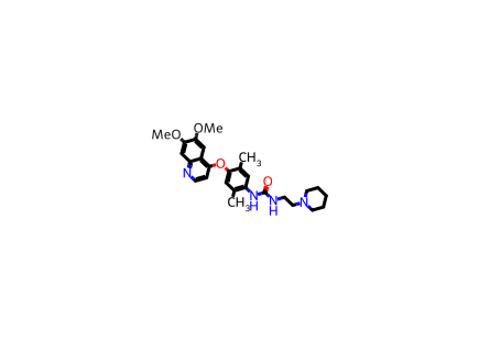 COc1cc2nccc(Oc3cc(C)c(NC(=O)NCCN4CCCCC4)cc3C)c2cc1OC